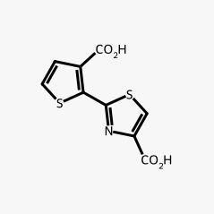 O=C(O)c1csc(-c2sccc2C(=O)O)n1